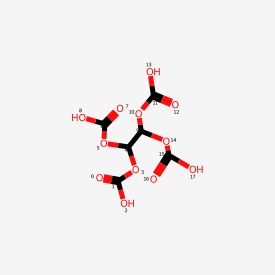 O=C(O)OC(OC(=O)O)C(OC(=O)O)OC(=O)O